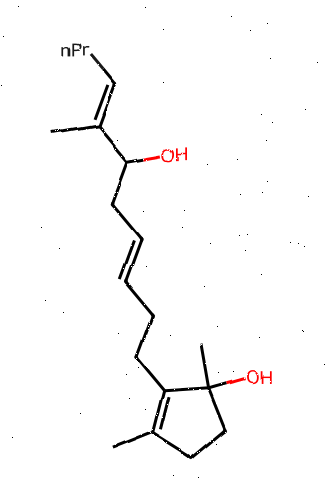 CCC/C=C(\C)C(O)C/C=C/CCC1=C(C)CCC1(C)O